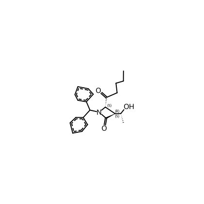 CCCCC(=O)[C@@H]1[C@@H]([C@@H](C)O)C(=O)N1C(c1ccccc1)c1ccccc1